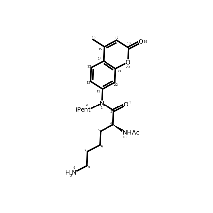 CCCC(C)N(C(=O)[C@H](CCCCN)NC(C)=O)c1ccc2c(C)cc(=O)oc2c1